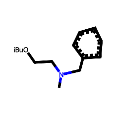 CC(C)COCCN(C)Cc1ccccc1